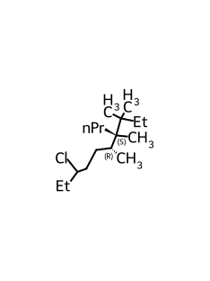 CCC[C@@](C)([C@H](C)CCC(Cl)CC)C(C)(C)CC